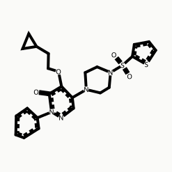 O=c1c(OCCC2CC2)c(N2CCN(S(=O)(=O)c3cccs3)CC2)cnn1-c1ccccc1